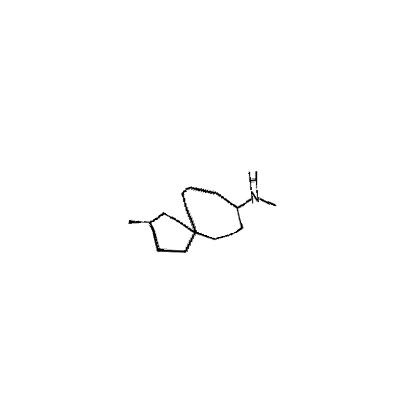 CNC1CCC2(CC1)CC[C@@H](C)C2